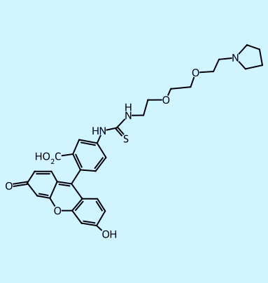 O=C(O)c1cc(NC(=S)NCCOCCOCCN2CCCC2)ccc1-c1c2ccc(=O)cc-2oc2cc(O)ccc12